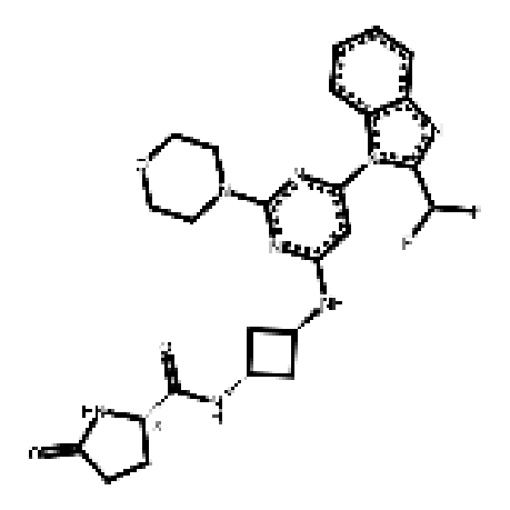 O=C1CC[C@@H](C(=O)N[C@H]2C[C@H](Nc3cc(-n4c(C(F)F)nc5ccccc54)nc(N4CCOCC4)n3)C2)N1